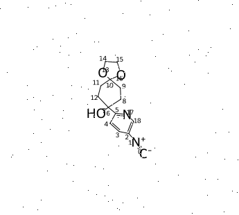 [C-]#[N+]c1ccc(C2(O)CCC3(CC2)OCCO3)nc1